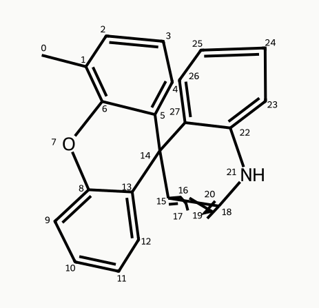 Cc1cccc2c1Oc1ccccc1C21c2ccccc2Nc2ccccc21